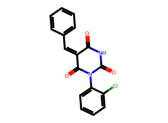 O=C1NC(=O)N(c2ccccc2Cl)C(=O)C1=Cc1ccccc1